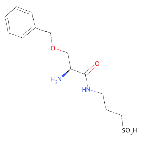 N[C@@H](COCc1ccccc1)C(=O)NCCCS(=O)(=O)O